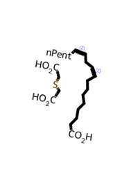 CCCCC/C=C\C/C=C\CCCCCCCC(=O)O.O=C(O)CSCC(=O)O